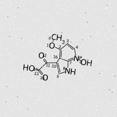 COc1cc[n+](O)c2[nH]cc(C(=O)C(=O)O)c12